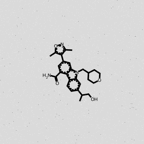 Cc1noc(C)c1-c1cc(C(N)=O)c2c3ccc(C(C)CO)cc3n(CC3CCOCC3)c2c1